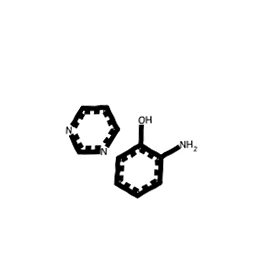 Nc1ccccc1O.c1cncnc1